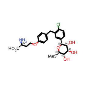 CS[C@H]1O[C@@H](c2ccc(Cl)c(Cc3ccc(OCC[C@H](N)C(=O)O)cc3)c2)[C@H](O)[C@@H](O)[C@@H]1O